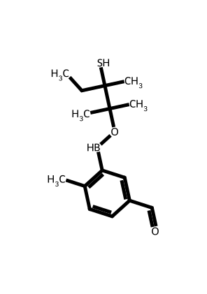 CCC(C)(S)C(C)(C)OBc1cc(C=O)ccc1C